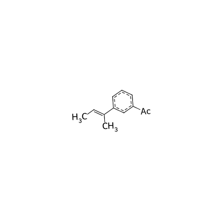 C/C=C(\C)c1cccc(C(C)=O)c1